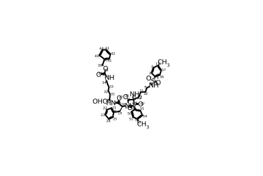 Cc1ccc(S(=O)(=O)NCCCC[C@@](N)(C(=O)N[C@@H](Cc2ccccc2)C(=O)N[C@H](C=O)CCCCNC(=O)OCc2ccccc2)S(=O)(=O)c2ccc(C)cc2)cc1